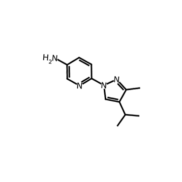 Cc1nn(-c2ccc(N)cn2)cc1C(C)C